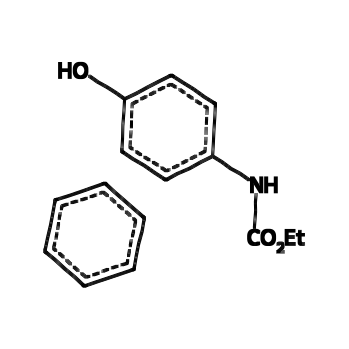 CCOC(=O)Nc1ccc(O)cc1.c1ccccc1